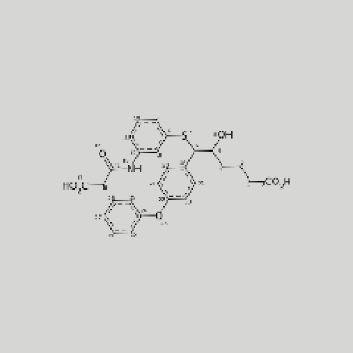 O=C(O)CCCC(O)C(Sc1cccc(NC(=O)CC(=O)O)c1)c1ccc(Oc2ccccc2)cc1